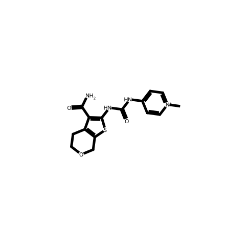 C[n+]1ccc(NC(=O)Nc2sc3c(c2C(N)=O)CCOC3)cc1